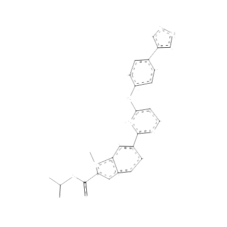 CC(F)NC(=O)c1cc2ccc(-c3nccc(Nc4ccc(-c5cn[nH]c5)cc4)n3)cc2n1C